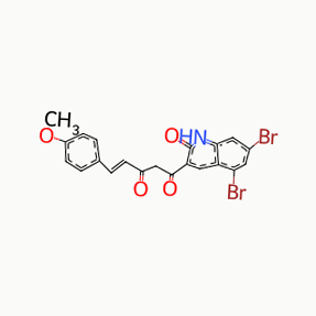 COc1ccc(/C=C/C(=O)CC(=O)c2cc3c(Br)cc(Br)cc3[nH]c2=O)cc1